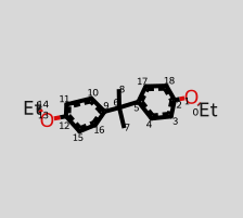 CCOc1ccc(C(C)(C)c2ccc(OCC)cc2)cc1